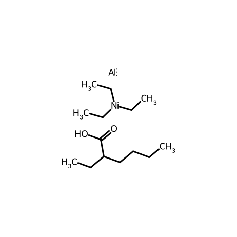 CCCCC(CC)C(=O)O.C[CH2][Ni]([CH2]C)[CH2]C.[Al]